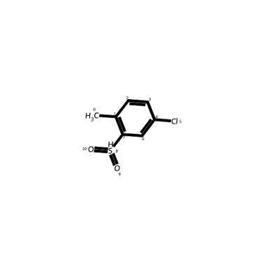 Cc1ccc(Cl)cc1[SH](=O)=O